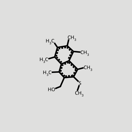 CSc1c(CO)c(C)c2c(C)c(C)c(C)c(C)c2c1C